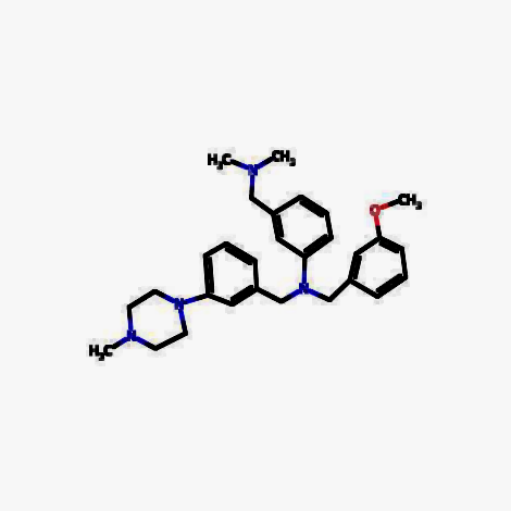 COc1cccc(CN(Cc2cccc(N3CCN(C)CC3)c2)c2cccc(CN(C)C)c2)c1